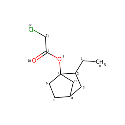 CCC1CC2CCC1(OC(=O)CCl)C2